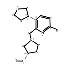 CO[C@H]1CCN(Cc2nc(C)ccc2[C@@H]2CCOC2)C1